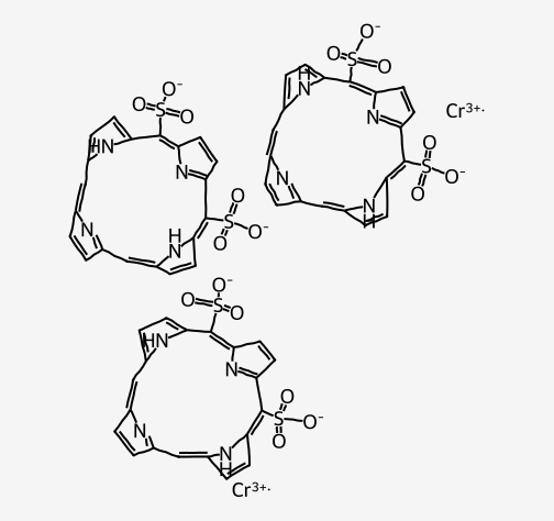 O=S(=O)([O-])c1c2nc(c(S(=O)(=O)[O-])c3ccc(cc4nc(cc5ccc1[nH]5)C=C4)[nH]3)C=C2.O=S(=O)([O-])c1c2nc(c(S(=O)(=O)[O-])c3ccc(cc4nc(cc5ccc1[nH]5)C=C4)[nH]3)C=C2.O=S(=O)([O-])c1c2nc(c(S(=O)(=O)[O-])c3ccc(cc4nc(cc5ccc1[nH]5)C=C4)[nH]3)C=C2.[Cr+3].[Cr+3]